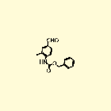 Cc1cc(C=O)ccc1NC(=O)OCc1ccccc1